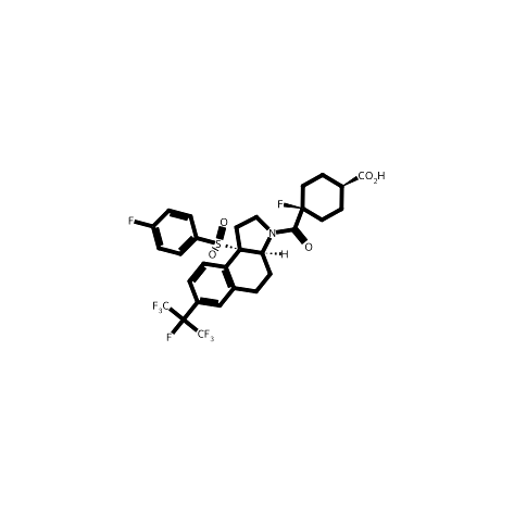 O=C(O)[C@H]1CC[C@](F)(C(=O)N2CC[C@]3(S(=O)(=O)c4ccc(F)cc4)c4ccc(C(F)(C(F)(F)F)C(F)(F)F)cc4CC[C@H]23)CC1